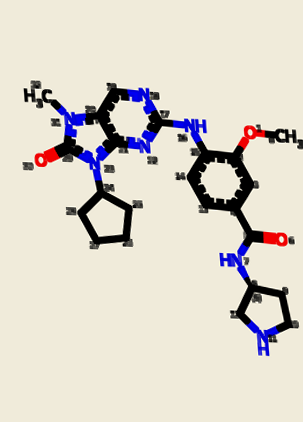 COc1cc(C(=O)N[C@H]2CCNC2)ccc1Nc1ncc2c(n1)n(C1CCCC1)c(=O)n2C